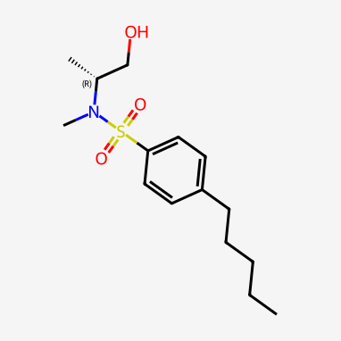 CCCCCc1ccc(S(=O)(=O)N(C)[C@H](C)CO)cc1